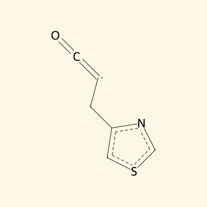 O=C=[C]Cc1cscn1